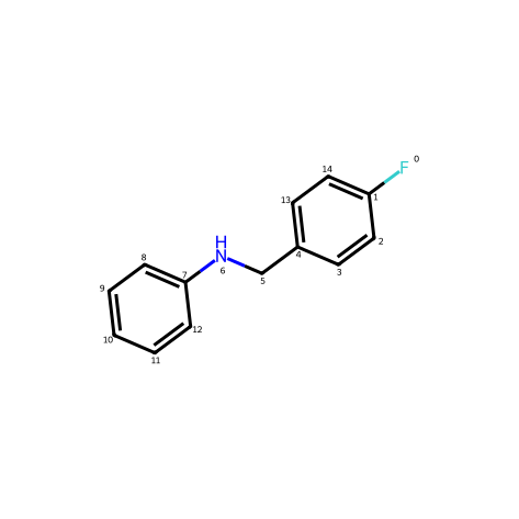 Fc1ccc(CNc2ccccc2)cc1